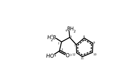 BC(C(=O)O)C(B)c1ccccc1